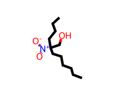 CCCCCCC(CO)(CCCC)[N+](=O)[O-]